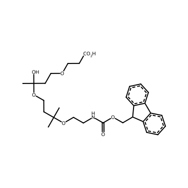 CC(C)(CCOC(C)(O)CCOCCC(=O)O)OCCNC(=O)OCC1c2ccccc2-c2ccccc21